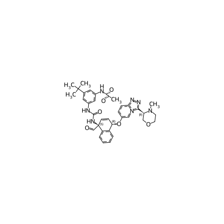 CN1CCOC[C@H]1c1nnc2ccc(O[C@@H]3C=C[C@](C=O)(NC(=O)Nc4cc(NS(C)(=O)=O)cc(C(C)(C)C)c4)c4ccccc43)cn12